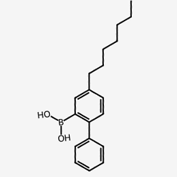 CCCCCCCc1ccc(-c2ccccc2)c(B(O)O)c1